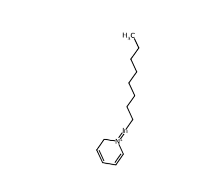 CCCCCCC[CH2][In]=[N+]1C=CC=CC1